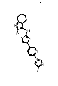 CCn1nc2c(c1NC1=NC(c3ccc(-n4cnc(C)c4)nc3)CS1)CCCC2